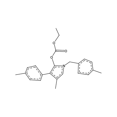 CCOC(=O)Oc1c(-c2ccc(C)cc2)c(C)cn1Cc1ccc(C)cc1